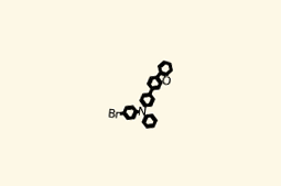 Brc1ccc(N(c2ccccc2)c2ccc(-c3ccc4c5c(oc4c3)CCC=C5)cc2)cc1